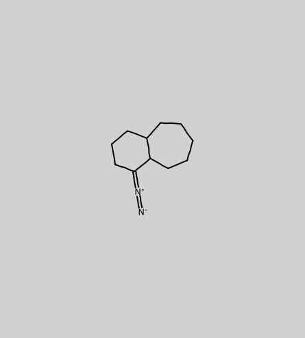 [N-]=[N+]=C1CCCC2CCCCCC12